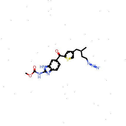 COC(=O)Nc1nc2ccc(C(=O)c3cc(CC(C)CCN=[N+]=[N-])cs3)cc2[nH]1